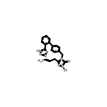 CC=CCc1nn(CC)c(=O)n1Cc1ccc(-c2ccccc2-c2nnn[nH]2)cc1